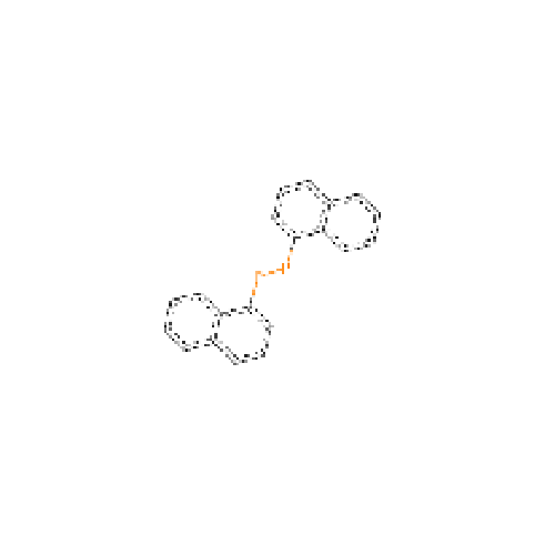 c1ccc2c([P][P]c3cccc4ccccc34)cccc2c1